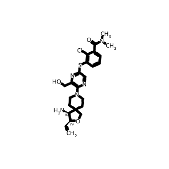 C=C[C@@H]1OCC2(CCN(c3ncc(Sc4cccc(C(=O)N(C)C)c4Cl)nc3CO)CC2)[C@@H]1N